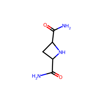 NC(=O)C1CC(C(N)=O)N1